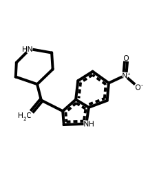 C=C(c1c[nH]c2cc([N+](=O)[O-])ccc12)C1CCNCC1